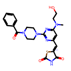 CN(CCO)c1cc(/C=C2\SC(=O)NC2=O)nc(N2CCN(C(=O)c3ccccc3)CC2)n1